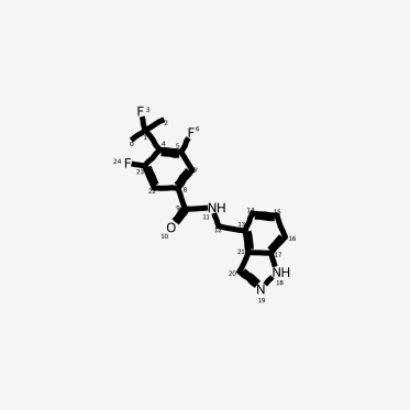 CC(C)(F)c1c(F)cc(C(=O)NCc2cccc3[nH]ncc23)cc1F